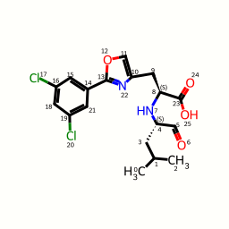 CC(C)C[C@@H](C=O)N[C@@H](Cc1coc(-c2cc(Cl)cc(Cl)c2)n1)C(=O)O